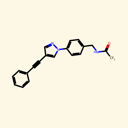 O=C(NCc1ccc(-n2cc(C#Cc3ccccc3)cn2)cc1)C(F)(F)F